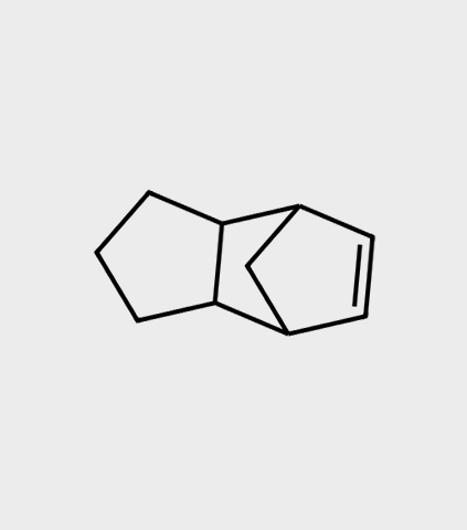 C1=CC2CC1C1CCCC21